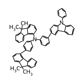 CC1(C)c2ccccc2-c2c(-c3ccc(N(c4cccc(-c5ccc6c(c5)c5ccccc5n6-c5ccccc5)c4)c4cccc5c4-c4ccccc4C5(C)C)cc3)cccc21